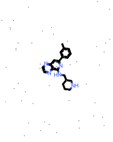 Cc1cccc(-c2cc3nccnc3c(NCC3CCCNC3)n2)c1